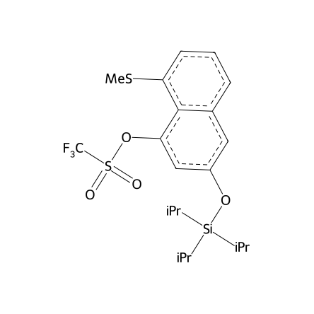 CSc1cccc2cc(O[Si](C(C)C)(C(C)C)C(C)C)cc(OS(=O)(=O)C(F)(F)F)c12